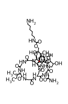 CC[C@H](C)[C@@H]1NC(=O)CNC(=O)C2Cc3c([nH]c4cc(O)ccc34)[S@+]([O-])CC(NC(=O)CNC1=O)C(=O)N[C@@H](CC(N)=O)C(=O)N1CC(O)C[C@H]1C(=O)N[C@@H]([C@@H](C)[C@@H](O)COC(=O)NCCCCCCN)C(=O)N2